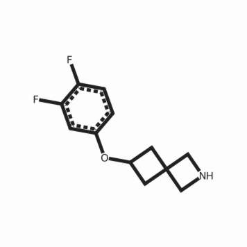 Fc1ccc(OC2CC3(CNC3)C2)cc1F